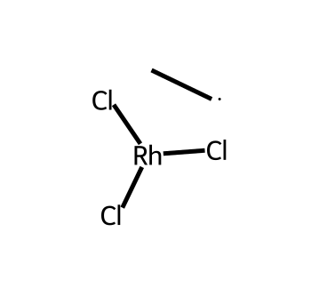 [CH2]C.[Cl][Rh]([Cl])[Cl]